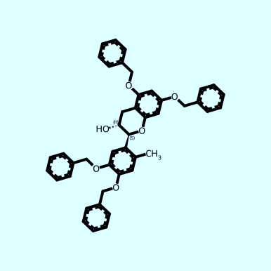 Cc1cc(OCc2ccccc2)c(OCc2ccccc2)cc1[C@@H]1Oc2cc(OCc3ccccc3)cc(OCc3ccccc3)c2C[C@H]1O